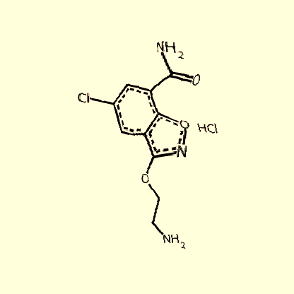 Cl.NCCOc1noc2c(C(N)=O)cc(Cl)cc12